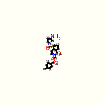 Cc1ccc(C(=O)OCN(C)/C=C\c2c(C=O)cccc2[S+]([O-])N2CCC(N)C2)cc1